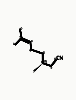 CC(C)=CCC[C@@H](C)CC#N